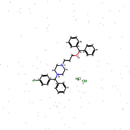 Cl.Cl.Fc1ccc(C(c2ccccc2)N2CCN(CCCOC(c3ccccc3)c3ccccc3)CC2)cc1